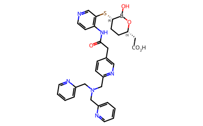 O=C(O)C[C@@H]1CC[C@H](Sc2cnccc2NC(=O)Cc2ccc(CN(Cc3ccccn3)Cc3ccccn3)nc2)B(O)O1